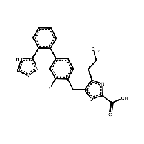 CCCc1nc(C(=O)O)oc1Cc1ccc(-c2ccccc2-c2nnn[nH]2)cc1F